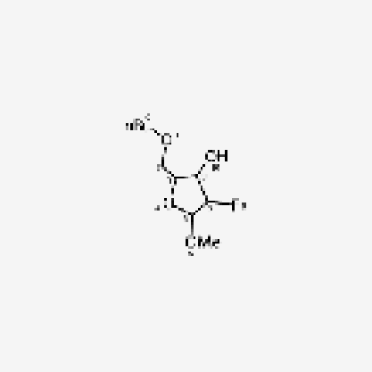 CCCCOCC1OC(OC)C(F)C1O